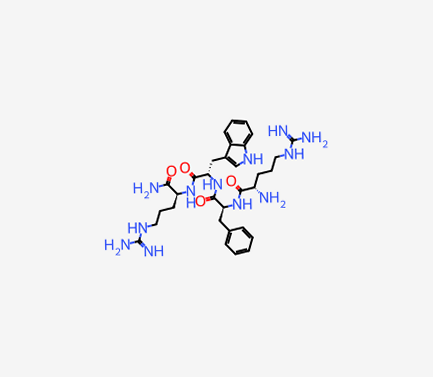 N=C(N)NCCC[C@H](NC(=O)[C@H](Cc1c[nH]c2ccccc12)NC(=O)[C@H](Cc1ccccc1)NC(=O)[C@@H](N)CCCNC(=N)N)C(N)=O